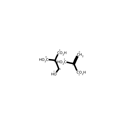 C=C(C(=O)O)C(=O)O.O=C(O)C(CO)C(=O)O